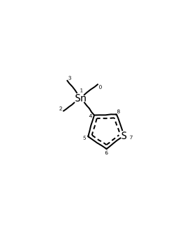 [CH3][Sn]([CH3])([CH3])[c]1ccsc1